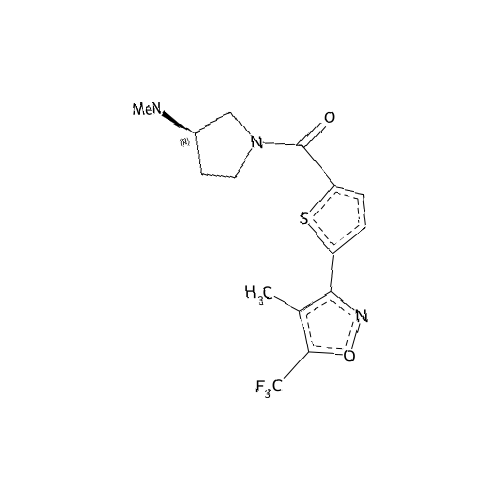 CN[C@@H]1CCN(C(=O)c2ccc(-c3noc(C(F)(F)F)c3C)s2)C1